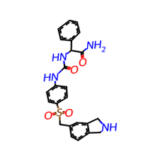 NC(=O)C(NC(=O)Nc1ccc(S(=O)(=O)Cc2ccc3c(c2)CNC3)cc1)c1ccccc1